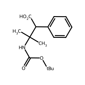 CC(C)(C)OC(=O)NC(C)(C)C(C(=O)O)c1ccccc1